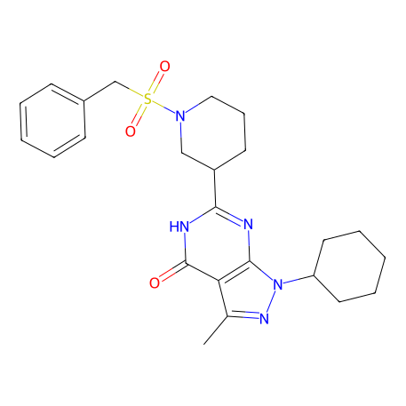 Cc1nn(C2CCCCC2)c2nc(C3CCCN(S(=O)(=O)Cc4ccccc4)C3)[nH]c(=O)c12